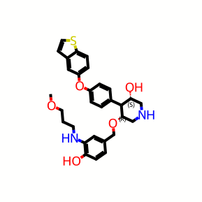 COCCCNc1cc(CO[C@H]2CNC[C@@H](O)C2c2ccc(Oc3ccc4sccc4c3)cc2)ccc1O